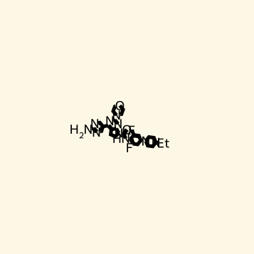 CCN1CCN(C2C=C(F)C(NC(=O)N3CCc4c(-c5cnc(N)nc5)nc(N5CCOCC5)nc43)=C(F)C2)CC1